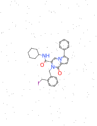 O=C(NC1CCCCC1)c1cn2c(-c3ccccc3)ccc2c(=O)n1Cc1ccccc1CI